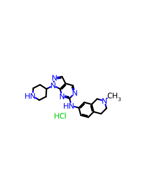 CN1CCc2ccc(Nc3ncc4cnn(C5CCNCC5)c4n3)cc2C1.Cl